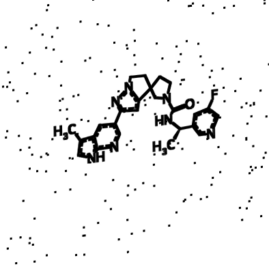 Cc1c[nH]c2ncc(-c3cc4n(n3)CCC43CCN(C(=O)N[C@H](C)c4cncc(F)c4)C3)cc12